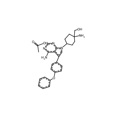 CC(=O)O.Nc1ncnc2c1c(-c1ccc(Oc3ccccc3)cc1)cn2C1CCC(N)(CO)CC1